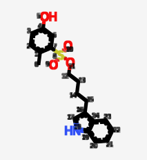 Cc1ccc(O)cc1S(=O)(=O)OCCCCc1c[nH]c2ccccc12